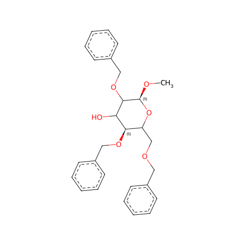 CO[C@H]1OC(COCc2ccccc2)[C@@H](OCc2ccccc2)C(O)C1OCc1ccccc1